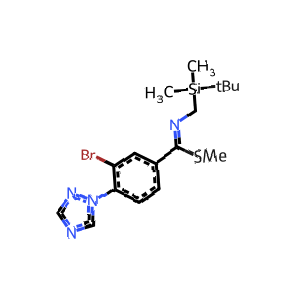 CSC(=NC[Si](C)(C)C(C)(C)C)c1ccc(-n2cncn2)c(Br)c1